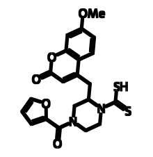 COc1ccc2c(CC3CN(C(=O)c4ccco4)CCN3C(=S)S)cc(=O)oc2c1